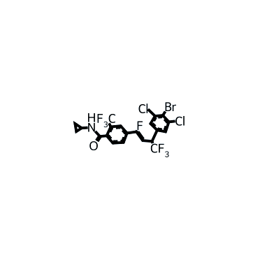 O=C(NC1CC1)c1ccc(C(F)=CC(c2cc(Cl)c(Br)c(Cl)c2)C(F)(F)F)cc1C(F)(F)F